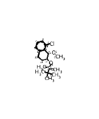 CO[C@H]1c2c(Cl)cccc2CCC1O[Si](C)(C)C(C)(C)C